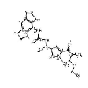 CN(CCCO)C(=O)c1cc([S+]([O-])NC(=O)Nc2c3c(cc4c2CCC4)CCC3)nn1C